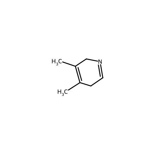 CC1=C(C)CN=CC1